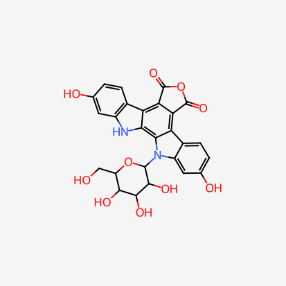 O=C1OC(=O)c2c1c1c3ccc(O)cc3[nH]c1c1c2c2ccc(O)cc2n1C1OC(CO)C(O)C(O)C1O